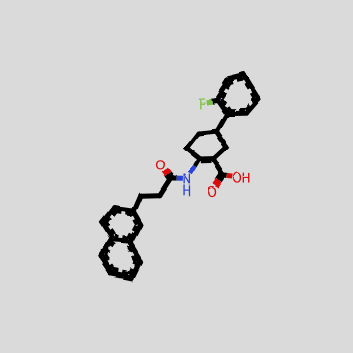 O=C(CCc1ccc2ccccc2c1)NC1=C(C(=O)O)CC(c2ccccc2F)CC1